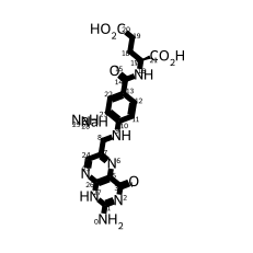 Nc1nc(=O)c2nc(CNc3ccc(C(=O)N[C@@H](CCC(=O)O)C(=O)O)cc3)cnc2[nH]1.[NaH].[NaH]